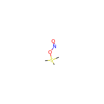 CS(C)(C)ON=O